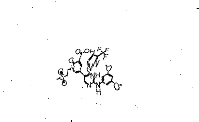 C=C(/N=C\C(=C(/N)n1ccc(C(F)(F)F)n1)c1cc(C(=O)O)c(=O)n(CCS(C)(=O)=O)c1)Nc1cc(OC)cc(OC)c1